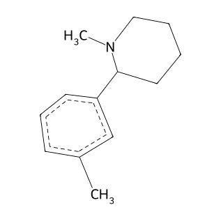 Cc1cccc(C2CCCCN2C)c1